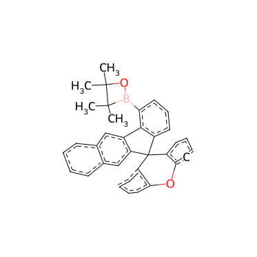 CC1(C)OB(c2cccc3c2-c2cc4ccccc4cc2C32c3ccccc3Oc3ccccc32)C1(C)C